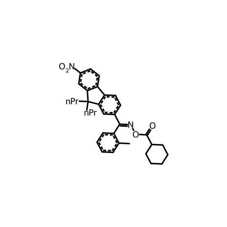 CCCC1(CCC)c2cc(/C(=N/OC(=O)C3CCCCC3)c3ccccc3C)ccc2-c2ccc([N+](=O)[O-])cc21